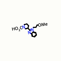 COCCCn1c(C2CCCN(C(=O)O)C2)nc2ccccc21